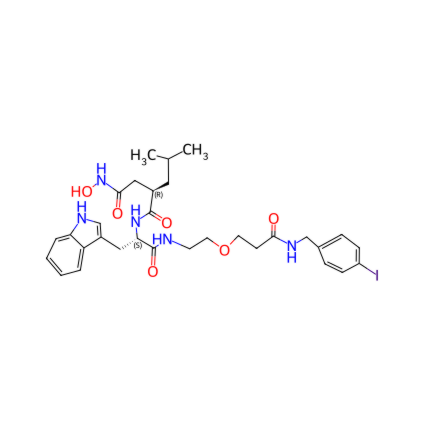 CC(C)C[C@H](CC(=O)NO)C(=O)N[C@@H](Cc1c[nH]c2ccccc12)C(=O)NCCOCCC(=O)NCc1ccc(I)cc1